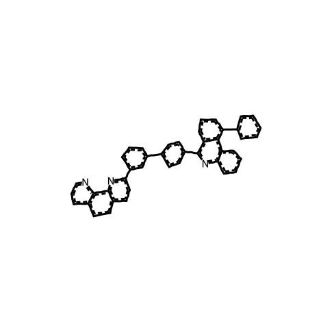 c1ccc(-c2cccc3c(-c4ccc(-c5cccc(-c6ccc7ccc8cccnc8c7n6)c5)cc4)nc4ccccc4c23)cc1